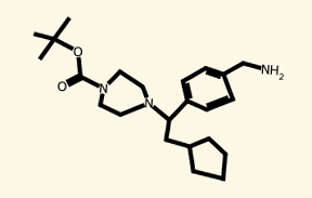 CC(C)(C)OC(=O)N1CCN(C(CC2CCCC2)c2ccc(CN)cc2)CC1